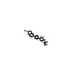 CCC1CCC2CC(c3ccc(-c4ccc(OC(F)(F)C(F)F)cc4)cc3)CCC2C1